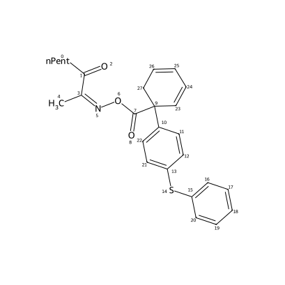 CCCCCC(=O)C(C)=NOC(=O)C1(c2ccc(Sc3ccccc3)cc2)C=CC=CC1